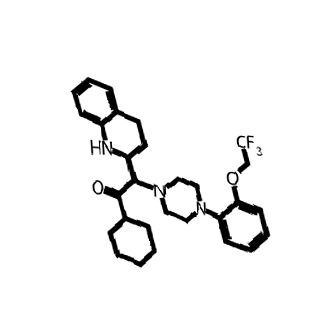 O=C(C1CCCCC1)C(C1CCc2ccccc2N1)N1CCN(c2ccccc2OCC(F)(F)F)CC1